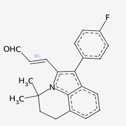 CC1(C)CCc2cccc3c(-c4ccc(F)cc4)c(/C=C/C=O)n1c23